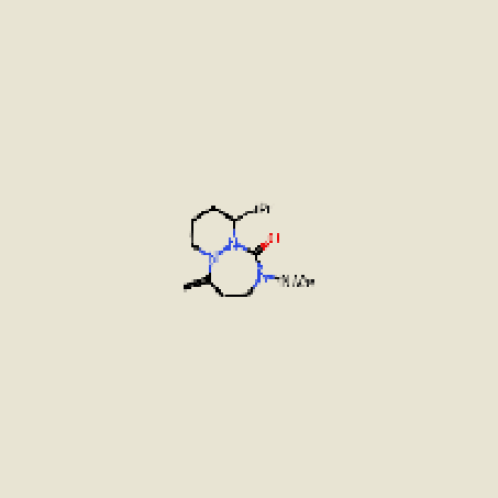 C=C1CCN(NC)C(=O)N2C(C(C)C)CCCN12